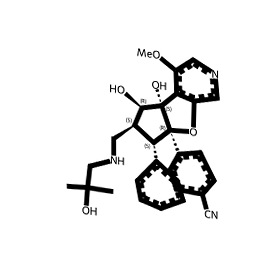 COc1cncc2c1[C@]1(O)[C@H](O)[C@H](CNCC(C)(C)O)[C@@H](c3ccccc3)[C@]1(c1ccc(C#N)cc1)O2